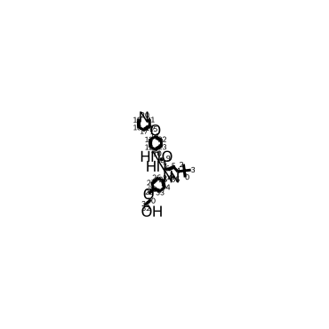 CC(C)(C)c1cc(NC(=O)Nc2ccc(Oc3cccnc3)cc2)n(-c2ccc(OCCO)cc2)n1